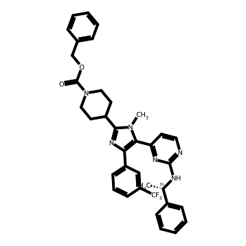 C[C@H](Nc1nccc(-c2c(-c3cccc(C(F)(F)F)c3)nc(C3CCN(C(=O)OCc4ccccc4)CC3)n2C)n1)c1ccccc1